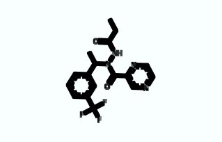 CCC(=O)NN(C(=O)c1cnccn1)C(C)c1cccc(C(F)(F)F)c1